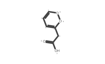 O=C(O)CC1=CC=COO1